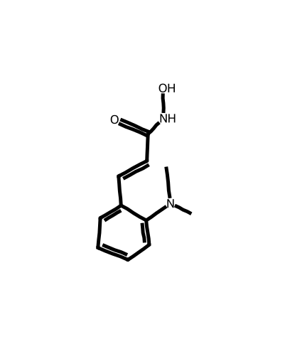 CN(C)c1ccccc1/C=C/C(=O)NO